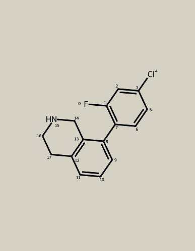 Fc1cc(Cl)ccc1-c1cccc2c1CNCC2